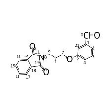 O=Cc1cccc(OCCCN2C(=O)c3ccccc3C2=O)c1